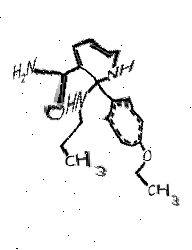 CCCNC1(c2ccc(OCC)cc2)NC=CC=C1C(N)=O